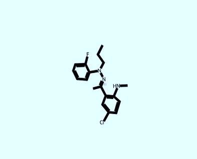 CCCN(/N=C(\C)c1cc(Cl)ccc1NC)c1ccccc1F